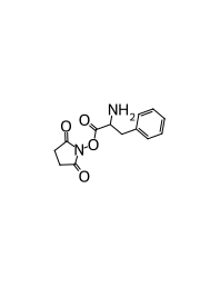 NC(Cc1ccccc1)C(=O)ON1C(=O)CCC1=O